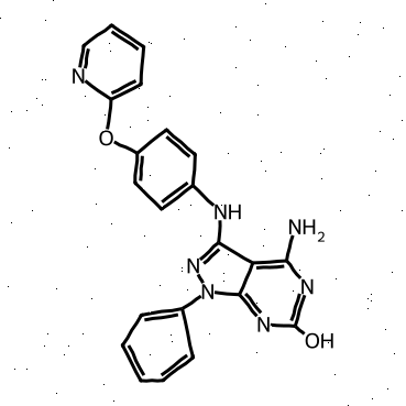 Nc1nc(O)nc2c1c(Nc1ccc(Oc3ccccn3)cc1)nn2-c1ccccc1